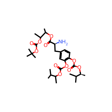 CC(C)C(C)OC(=O)Oc1cc(C[C@H](N)C(=O)OC(C)C(C)OC(=O)OC(C)(C)C)ccc1OC(=O)O[C@@H](C)C(C)C